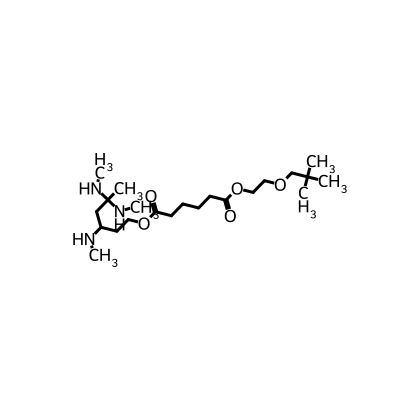 CNC(CCOC(=O)CCCCC(=O)OCCOCC(C)(C)C)CC(C)(NC)NC